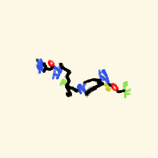 CCC(F)(CCCC(C)NC(=O)Cc1cnn(C)c1)CCN1CCC2=C(CC1)SC(OCC(F)F)N2